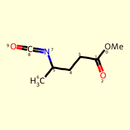 COC(=O)CCC(C)N=C=O